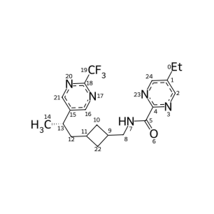 CCc1cnc(C(=O)NCC2CC(C[C@H](C)c3cnc(C(F)(F)F)nc3)C2)nc1